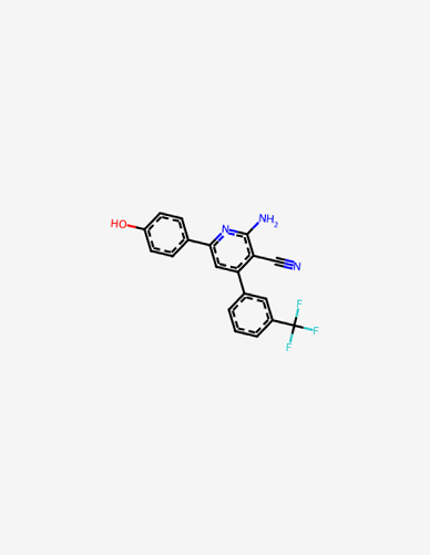 N#Cc1c(-c2cccc(C(F)(F)F)c2)cc(-c2ccc(O)cc2)nc1N